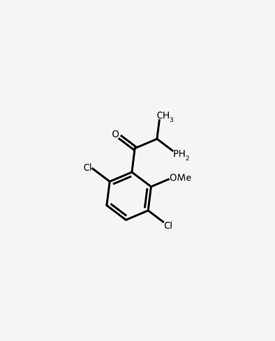 COc1c(Cl)ccc(Cl)c1C(=O)C(C)P